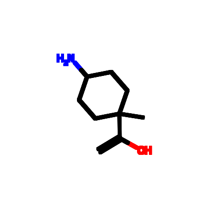 C=C(O)C1(C)CCC(N)CC1